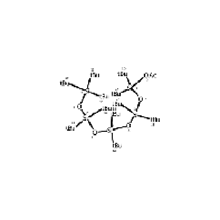 CC(=O)O[Si](O[Si](O[Si](O[Si](O[Si](C(C)(C)C)(C(C)(C)C)C(C)(C)C)(C(C)(C)C)C(C)(C)C)(C(C)(C)C)C(C)(C)C)(C(C)(C)C)C(C)(C)C)(C(C)(C)C)C(C)(C)C